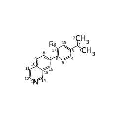 CC(C)c1ccc(-c2ccc3ccncc3c2)c(F)c1